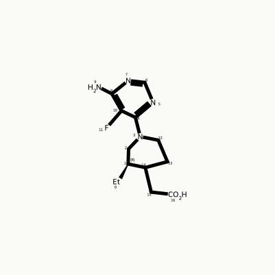 CC[C@H]1CN(c2ncnc(N)c2F)CCC1CC(=O)O